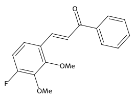 COc1c(F)ccc(C=CC(=O)c2ccccc2)c1OC